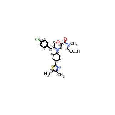 Cc1nc(C2CCC(N3C[C@H](C(=O)N(C)CC(=O)O)OC[C@@H]3Cc3ccc(Cl)cc3)CC2)sc1C